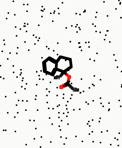 CCCC1(OC(=O)C(C)CC)CCCc2ccccc21